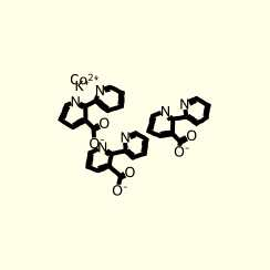 O=C([O-])c1cccnc1-c1ccccn1.O=C([O-])c1cccnc1-c1ccccn1.O=C([O-])c1cccnc1-c1ccccn1.[Co+2].[K+]